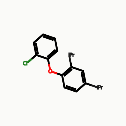 CC(C)c1ccc(Oc2ccccc2Cl)c(C(C)C)c1